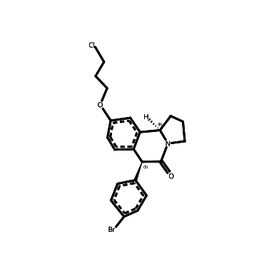 O=C1[C@@H](c2ccc(Br)cc2)c2ccc(OCCCCl)cc2[C@H]2CCCN12